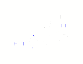 Nc1cnc(-c2ccc(-c3ccccc3SNC(c3ccccc3)C(F)(F)F)cc2F)cn1